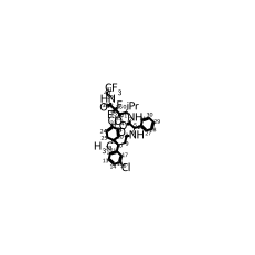 CC(C)[C@H](NC(=O)[C@@H](NC(=O)C[C@@H](c1cccc(Cl)c1)C1(C)C=CC(Cl)=CC1)c1ccccc1)C(=O)C(F)(F)C(=O)NCC(F)(F)F